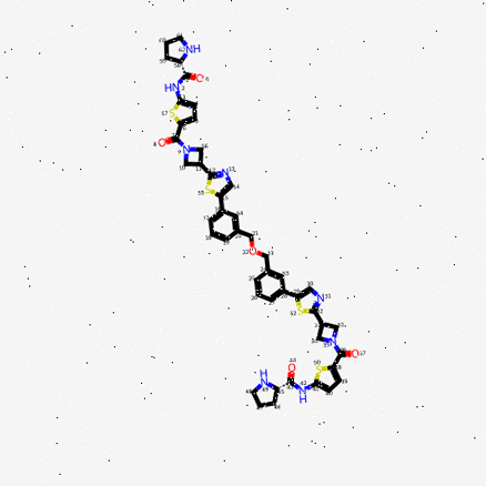 O=C(Nc1ccc(C(=O)N2CC(c3ncc(-c4cccc(COCc5cccc(-c6cnc(C7CN(C(=O)c8ccc(NC(=O)[C@@H]9CCCN9)s8)C7)s6)c5)c4)s3)C2)s1)[C@@H]1CCCN1